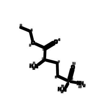 CCOC(=O)C(N)CCP(N)(N)=O